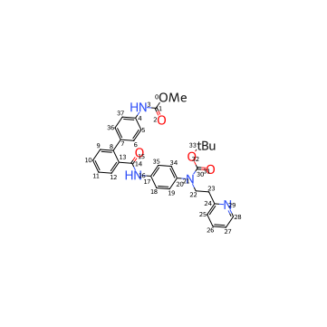 COC(=O)Nc1ccc(-c2ccccc2C(=O)Nc2ccc(N(CCc3ccccn3)C(=O)OC(C)(C)C)cc2)cc1